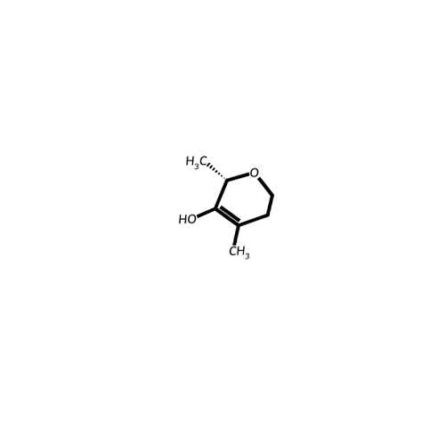 CC1=C(O)[C@H](C)OCC1